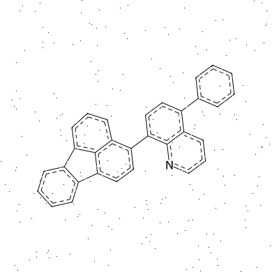 c1ccc(-c2ccc(-c3ccc4c5c(cccc35)-c3ccccc3-4)c3ncccc23)cc1